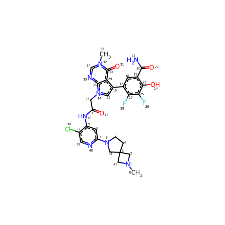 CN1CC2(CCN(c3cc(NC(=O)Cn4cc(-c5cc(C(N)=O)c(O)c(F)c5F)c5c(=O)n(C)cnc54)c(Cl)cn3)C2)C1